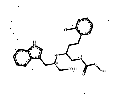 CC(C)(C)OC(=O)NCC(CCc1ccccc1Cl)N[C@@H](CC(=O)O)Cc1c[nH]c2ccccc12